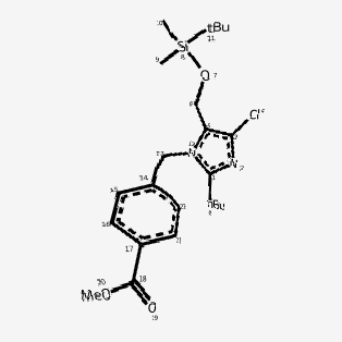 CCCCc1nc(Cl)c(CO[Si](C)(C)C(C)(C)C)n1Cc1ccc(C(=O)OC)cc1